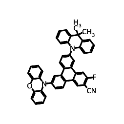 CC1(C)c2ccccc2N(c2ccc3c4cc(N5c6ccccc6Oc6ccccc65)ccc4c4cc(C#N)c(F)cc4c3c2)c2ccccc21